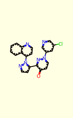 O=c1ccn(-c2cncc(Cl)c2)nc1-c1ccnn1-c1ccnc2ccccc12